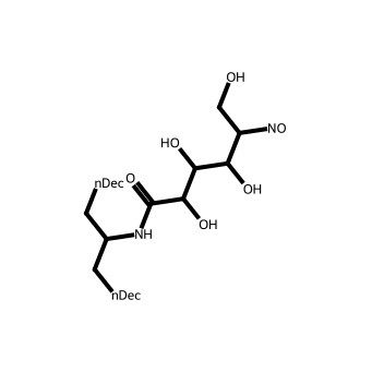 CCCCCCCCCCCC(CCCCCCCCCCC)NC(=O)C(O)C(O)C(O)C(CO)N=O